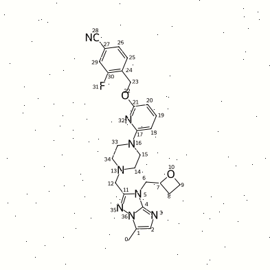 Cc1cnc2n(CC3CCO3)c(CN3CCN(c4cccc(OCc5ccc(C#N)cc5F)n4)CC3)nn12